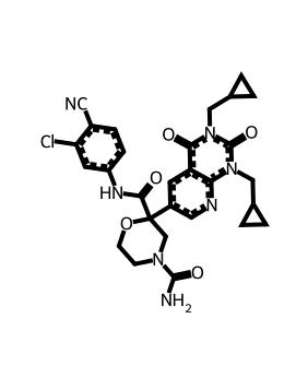 N#Cc1ccc(NC(=O)C2(c3cnc4c(c3)c(=O)n(CC3CC3)c(=O)n4CC3CC3)CN(C(N)=O)CCO2)cc1Cl